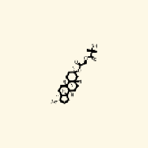 CC(=O)[C@H]1CC[C@H]2[C@@H]3CC[C@H]4C[C@](C)(OC(=O)COC(=O)C(C)(C)S)CC[C@]4(C)[C@H]3CC[C@]12C